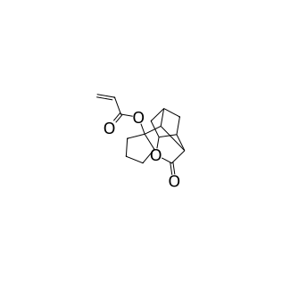 C=CC(=O)OC1(C2C3CC4OC(=O)C2C4C3)CCCC1